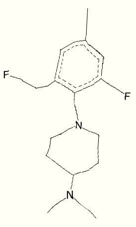 Cc1cc(F)c(N2CCC(N(C)C)CC2)c(CF)c1